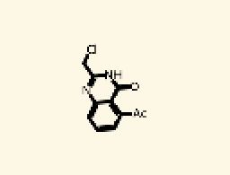 CC(=O)c1cccc2nc(CCl)[nH]c(=O)c12